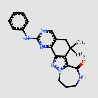 CC1(C)Cc2cnc(Nc3ccccc3)nc2-c2nn3c(c21)C(=O)NCCC3